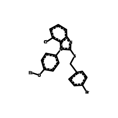 CCOc1ccc(-n2c(SCc3ccc(Br)cc3)nc3cccc(Cl)c32)cc1